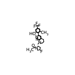 CC(=O)N1C[C@H](F)C[C@H]1CN1CCCc2cc(-c3c(C)cc(C(F)(F)F)cc3O)nnc21